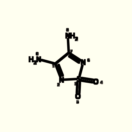 NC1=NS(=O)(=O)N=C1N